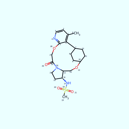 Cc1ccnc2c1C1CCC(CC1)OCC1[C@@H](NS(C)(=O)=O)CCN1C(=O)CO2